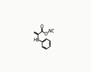 [C-]#[N+]OC(=O)C(=C)Bc1ccccc1